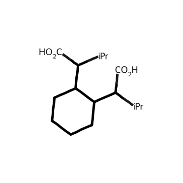 CC(C)C(C(=O)O)C1CCCCC1C(C(=O)O)C(C)C